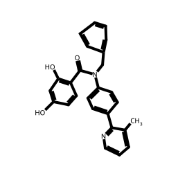 Cc1cccnc1-c1ccc(N(Cc2ccccc2)C(=O)c2ccc(O)cc2O)cc1